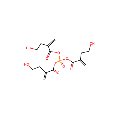 C=C(CCO)C(=O)OP(=O)(OC(=O)C(=C)CCO)OC(=O)C(=C)CCO